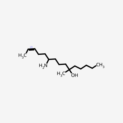 C/C=C\CCC(N)CCCC(C)(O)CCCCC